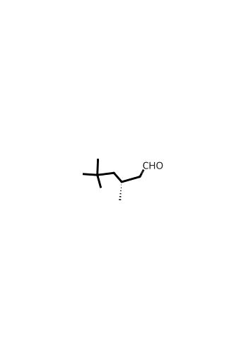 C[C@@H](CC=O)CC(C)(C)C